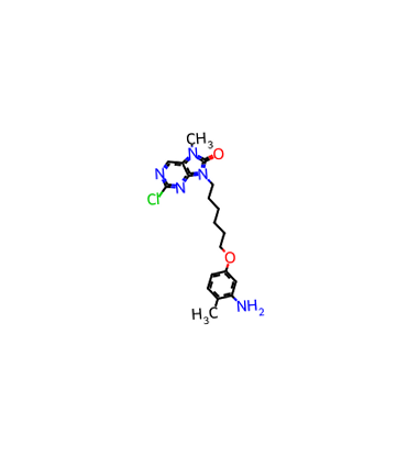 Cc1ccc(OCCCCCCn2c(=O)n(C)c3cnc(Cl)nc32)cc1N